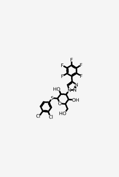 OCC1OC(Sc2ccc(Cl)c(Cl)c2)C(O)C(n2cc(-c3c(F)c(F)c(F)c(F)c3F)nn2)C1O